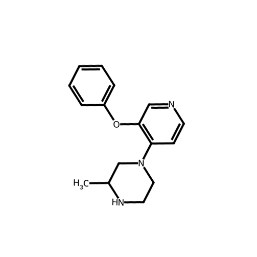 CC1CN(c2ccncc2Oc2ccccc2)CCN1